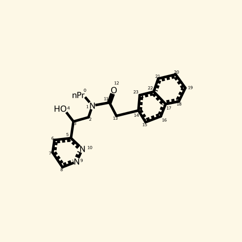 CCCN(CC(O)c1cccnn1)C(=O)Cc1ccc2ccccc2c1